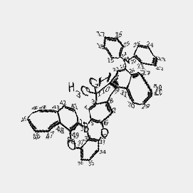 CC1(C)c2cc3c(cc2-c2c1cc(N(c1ccccc1)c1ccccc1)c1ccccc21)Oc1cccc2c1B3c1ccc3ccccc3c1O2